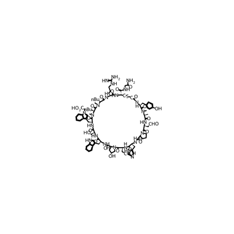 CCCC[C@H]1C(=O)N(C)[C@@H](CCCC)C(=O)N[C@@H](CCCNC(=N)N)C(=O)N[C@H](C(=O)NCC(N)=O)CSCC(=O)N[C@@H](Cc2ccc(O)cc2)C(=O)N(C)[C@@H](C)C(=O)N[C@@H](CC=O)C(=O)N2CCC[C@H]2C(=O)N[C@@H](Cc2cnc[nH]2)C(=O)N[C@@H](CC(=O)O)C(=O)N2C[C@H](O)C[C@H]2C(=O)N[C@@H](Cc2c[nH]c3ccccc23)C(=O)N[C@@H](CO)C(=O)N[C@@H](Cc2cn(CC(=O)O)c3ccccc23)C(=O)N1C